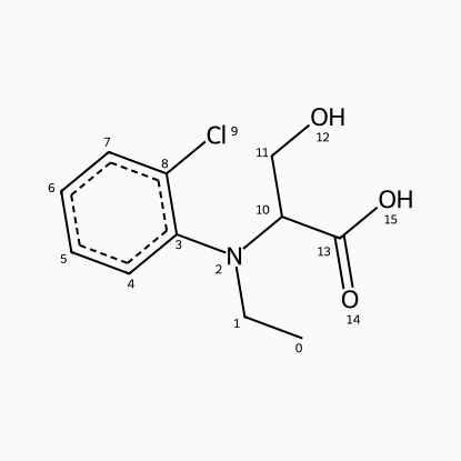 CCN(c1ccccc1Cl)C(CO)C(=O)O